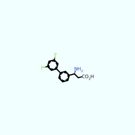 N[C@@H](CC(=O)O)c1cccc(-c2cc(F)cc(F)c2)c1